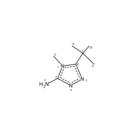 Cn1c(N)nnc1C(C)(C)C